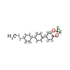 CCCc1ccc(-c2ccc(-c3ccc4c(c3)OC(F)(F)O4)cc2)cc1